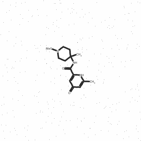 CSN1CCC(C)(NC(=O)c2cc(=O)cc(C)[nH]2)CC1